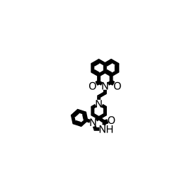 O=C1c2cccc3cccc(c23)C(=O)N1CCN1CCC2(CC1)C(=O)NCN2c1ccccc1